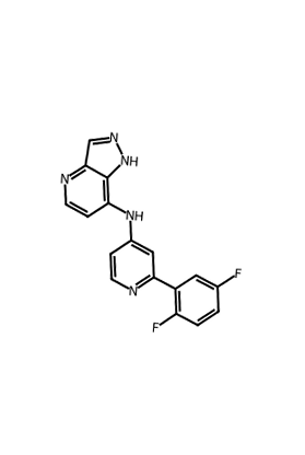 Fc1ccc(F)c(-c2cc(Nc3ccnc4cn[nH]c34)ccn2)c1